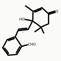 CC1=CC(=O)CC(C)(C)C1(O)/C=C/c1ccccc1C=O